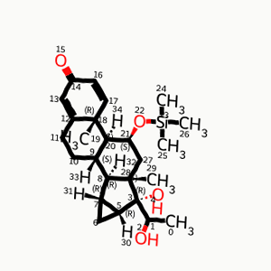 CC(O)[C@@]1(O)[C@@H]2C[C@@H]2[C@H]2[C@@H]3CCC4=CC(=O)C=C[C@]4(C)[C@H]3[C@@H](O[Si](C)(C)C)C[C@@]21C